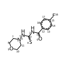 O=C(NC(=S)NN1CCOCC1)c1ccc(F)cc1